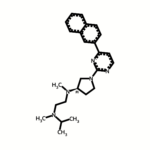 CC(C)N(C)CCN(C)[C@@H]1CCN(c2nccc(-c3ccc4ccccc4c3)n2)C1